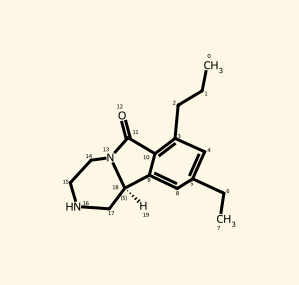 CCCc1cc(CC)cc2c1C(=O)N1CCNC[C@H]21